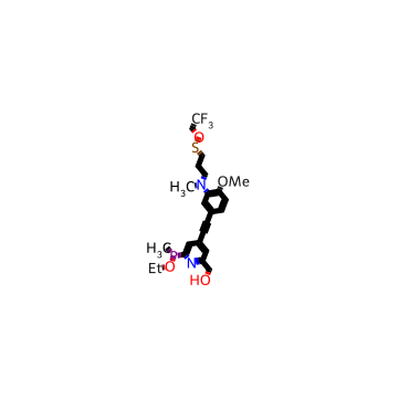 CCOP(C)c1cc(C#Cc2ccc(OC)c(N(C)CCCSOCC(F)(F)F)c2)cc(CO)n1